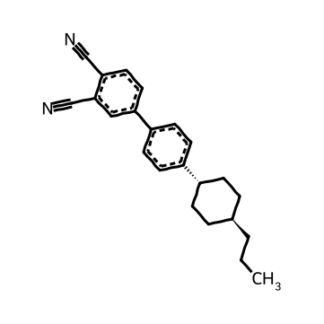 CCC[C@H]1CC[C@H](c2ccc(-c3ccc(C#N)c(C#N)c3)cc2)CC1